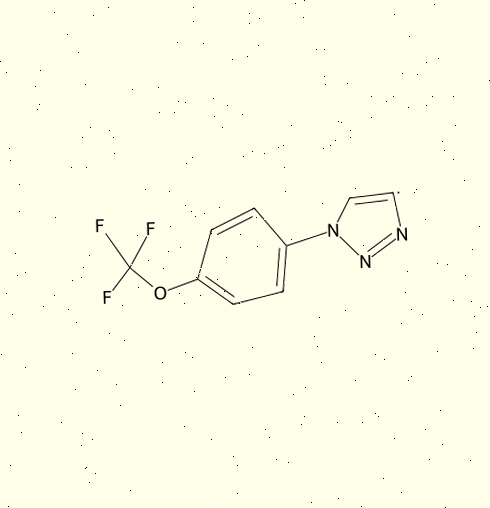 FC(F)(F)Oc1ccc(-n2c[c]nn2)cc1